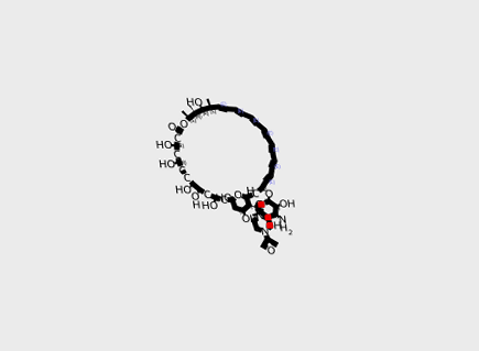 C[C@@H]1[C@H](O)[C@@H](C)/C=C/C=C/C=C/C=C/C=C/C=C/C=C/[C@H](O[C@@H]2O[C@H](C)[C@@H](O)[C@H](N)[C@@H]2O)C[C@@H]2O[C@](O)(C[C@@H](O)C[C@@H](O)[C@H](O)CC[C@@H](O)C[C@@H](O)CC(=O)O[C@H]1C)C[C@H](O)[C@H]2C(=O)N1CCN(C2COC2)CC1